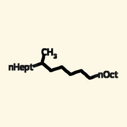 [CH2]CCCCCCCCCCCCC(C)CCCCCCC